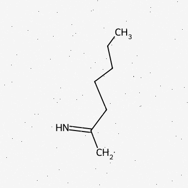 [CH2]C(=N)CCCCC